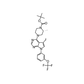 C[C@@H]1CN(c2ncnc3c2c(I)cn3-c2cccc(OC(F)(F)F)c2)CCN1C(=O)OC(C)(C)C